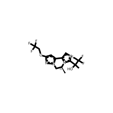 C[C@H]1Cn2nc(OCC(F)(F)F)cc2-c2cnc(C(C)(O)C(F)(F)F)n21